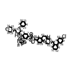 O=C(NS(=O)(=O)c1ccc(N[C@H](CCN2CCOCC2)CSc2ccccc2)c(S(=O)(=O)C(F)(F)F)c1)c1ccc2c(c1)CC[C@@H]1CN(Cc3ccccc3-c3ccc(Cl)cc3)CCN21